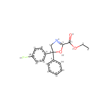 CCOC(=O)C1=NCC(c2ccccc2)(c2ccc(F)cc2)O1